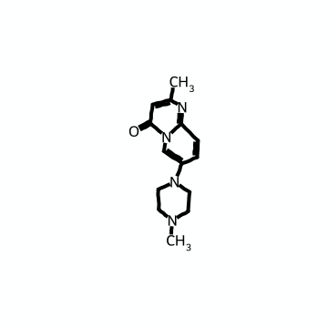 Cc1cc(=O)n2cc(N3CCN(C)CC3)ccc2n1